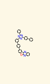 c1ccc(-c2ccc(-c3nc(-c4ccccc4)nc(-c4cccc(-c5ccc(-c6ccc7oc8nc9ccccc9nc8c7c6)cc5)c4)n3)cc2)cc1